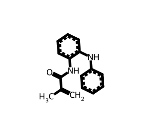 C=C(C)C(=O)Nc1ccccc1Nc1ccccc1